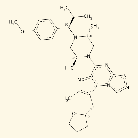 COc1ccc([C@@H](C(C)C)N2C[C@H](C)N(c3nc4nncn4c4c3nc(C)n4C[C@@H]3CCCO3)C[C@H]2C)cc1